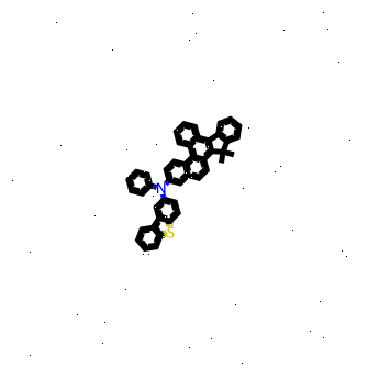 CC1(C)c2ccccc2-c2c1c1ccc3cc(N(c4ccccc4)c4ccc5sc6ccccc6c5c4)ccc3c1c1ccccc21